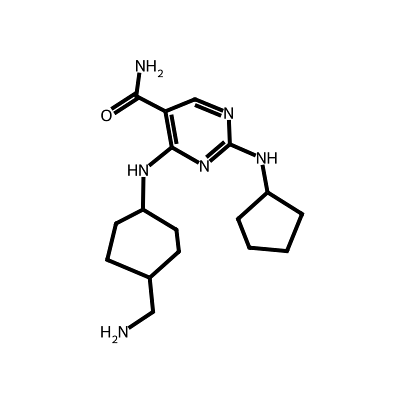 NCC1CCC(Nc2nc(NC3CCCC3)ncc2C(N)=O)CC1